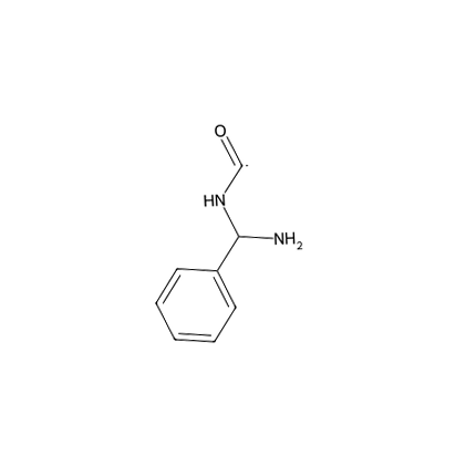 NC(N[C]=O)c1ccccc1